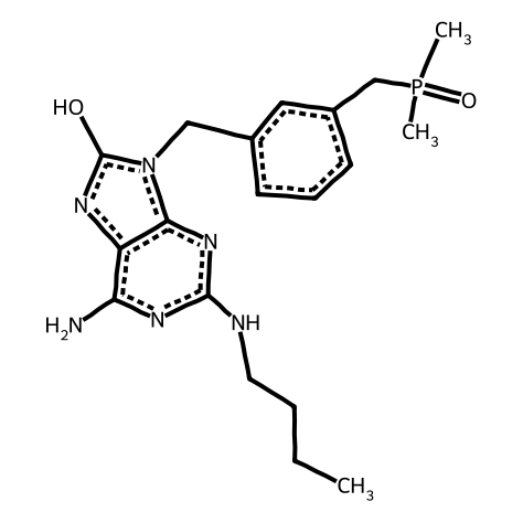 CCCCNc1nc(N)c2nc(O)n(Cc3cccc(CP(C)(C)=O)c3)c2n1